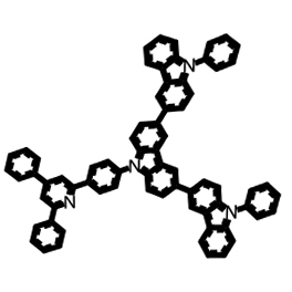 c1ccc(-c2cc(-c3ccccc3)nc(-c3ccc(-n4c5ccc(-c6ccc7c(c6)c6ccccc6n7-c6ccccc6)cc5c5cc(-c6ccc7c(c6)c6ccccc6n7-c6ccccc6)ccc54)cc3)c2)cc1